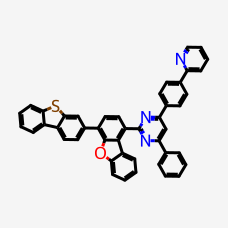 c1ccc(-c2cc(-c3ccc(-c4ccccn4)cc3)nc(-c3ccc(-c4ccc5c(c4)sc4ccccc45)c4oc5ccccc5c34)n2)cc1